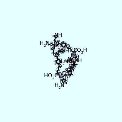 CC1(C)[C@H](NC(=O)/C(=N\O[C@@H](CCCOc2ccc(-c3cn(CCCN)[n+](CC4CNC4)c3)cc2)C(=O)O)c2csc(N)n2)C(=O)N1OS(=O)(=O)ON1C(=O)[C@@H](NC(=O)/C(=N\O[C@@H](CCCOc2ccc(-c3cn(CCCN)[n+](CC4CNC4)c3)cc2)C(=O)O)c2csc(N)n2)C1(C)C